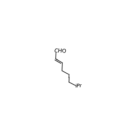 CC(C)CCCC=CC=O